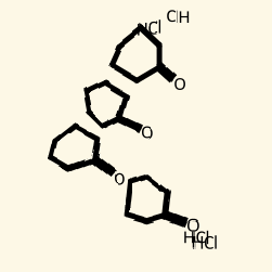 Cl.Cl.Cl.Cl.O=C1CCCCC1.O=C1CCCCC1.O=C1CCCCC1.O=C1CCCCC1